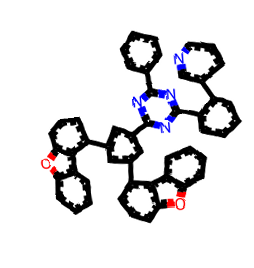 c1ccc(-c2nc(-c3cc(-c4cccc5oc6ccccc6c45)cc(-c4cccc5oc6ccccc6c45)c3)nc(-c3ccccc3-c3cccnc3)n2)cc1